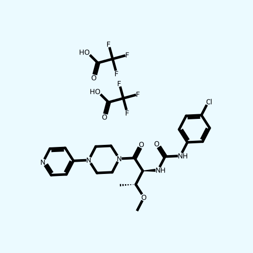 CO[C@H](C)[C@H](NC(=O)Nc1ccc(Cl)cc1)C(=O)N1CCN(c2ccncc2)CC1.O=C(O)C(F)(F)F.O=C(O)C(F)(F)F